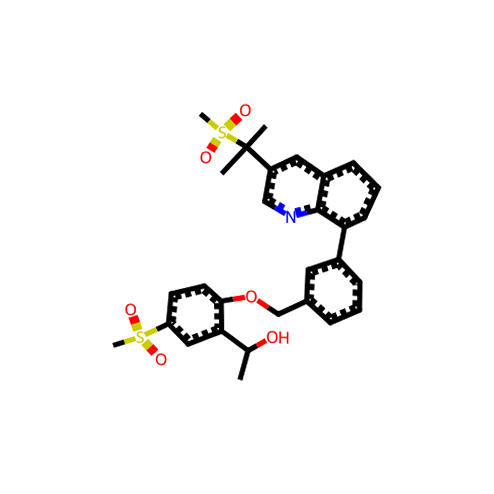 CC(O)c1cc(S(C)(=O)=O)ccc1OCc1cccc(-c2cccc3cc(C(C)(C)S(C)(=O)=O)cnc23)c1